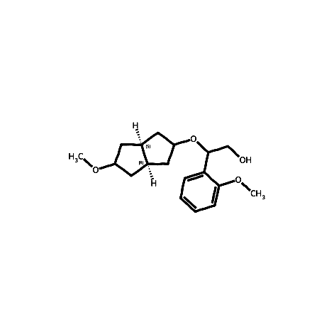 COc1ccccc1C(CO)OC1C[C@H]2CC(OC)C[C@H]2C1